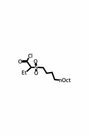 CCCCCCCCCCCCS(=O)(=O)C(CC)C(=O)Cl